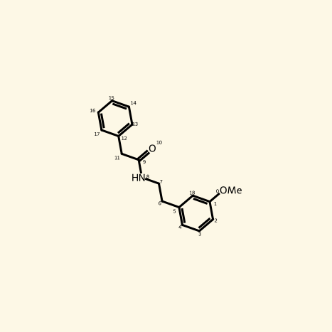 COc1cccc(CCNC(=O)Cc2ccccc2)c1